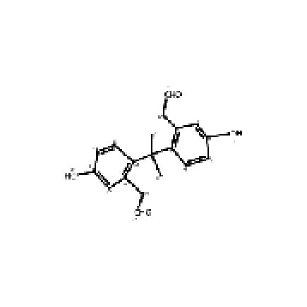 CC(C)(c1ccc(O)cc1CC=O)c1ccc(O)cc1CC=O